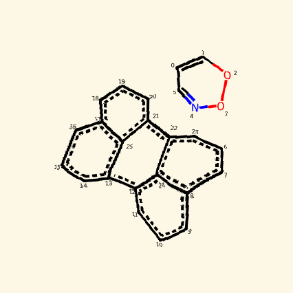 C1=COON=C1.c1cc2cccc3c4cccc5cccc(c(c1)c23)c54